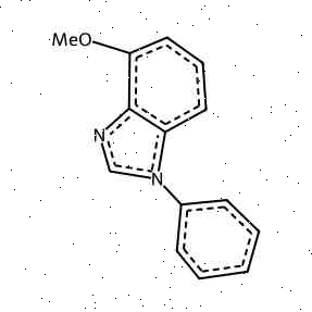 COc1cccc2c1ncn2-c1ccccc1